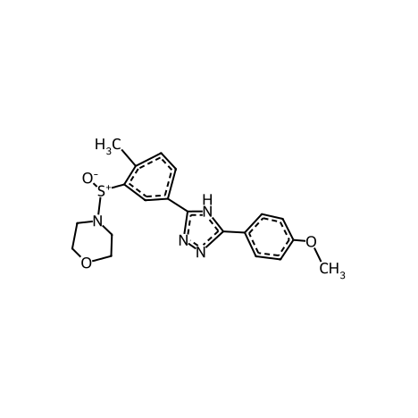 COc1ccc(-c2nnc(-c3ccc(C)c([S+]([O-])N4CCOCC4)c3)[nH]2)cc1